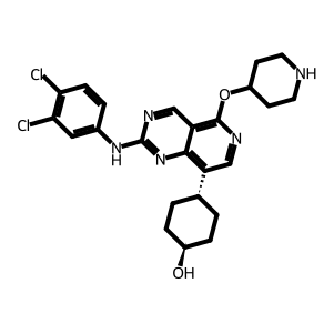 O[C@H]1CC[C@H](c2cnc(OC3CCNCC3)c3cnc(Nc4ccc(Cl)c(Cl)c4)nc32)CC1